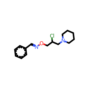 ClC(CON=[C]c1ccccc1)CN1CCCCC1